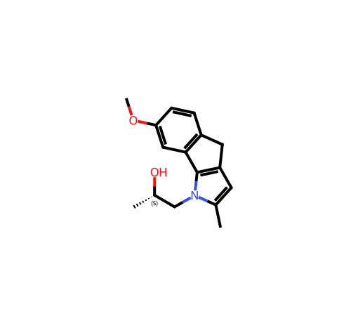 COc1ccc2c(c1)-c1c(cc(C)n1C[C@H](C)O)C2